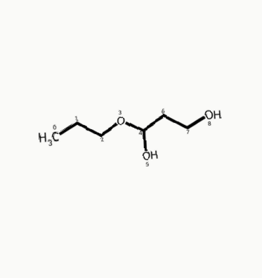 CCCOC(O)CCO